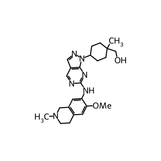 COc1cc2c(cc1Nc1ncc3cnn(C4CCC(C)(CO)CC4)c3n1)CN(C)CC2